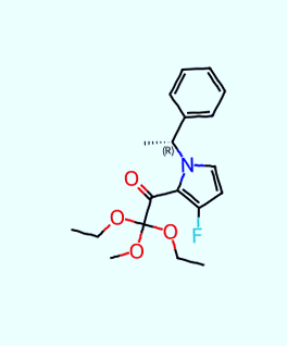 CCOC(OC)(OCC)C(=O)c1c(F)ccn1[C@H](C)c1ccccc1